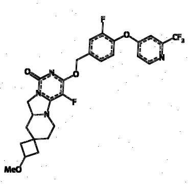 COC1CC2(CCN3c4c(F)c(OCc5ccc(Oc6ccnc(C(F)(F)F)c6)c(F)c5)nc(=O)n4CC3C2)C1